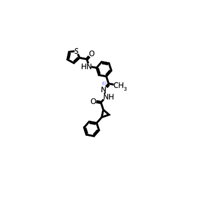 C/C(=N\NC(=O)C1CC1c1ccccc1)c1cccc(NC(=O)c2cccs2)c1